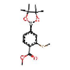 COC(=O)c1ccc(B2OC(C)(C)C(C)(C)O2)cc1SC